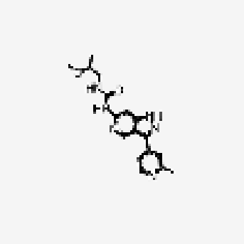 COC(C)CNC(=O)Nc1cc2[nH]nc(-c3ccnc(C)c3)c2cn1